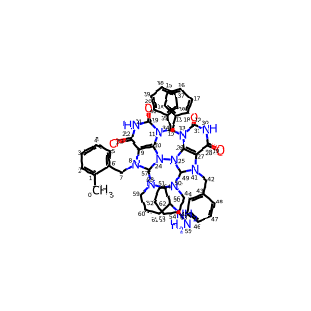 Cc1ccccc1CN1c2c(n(Cc3ccccc3)c(=O)[nH]c2=O)N(N2c3c(c(=O)[nH]c(=O)n3Cc3ccccc3)N(Cc3ccccc3)C2N2CCCC(N)C2)C1N1CCCC(N)C1